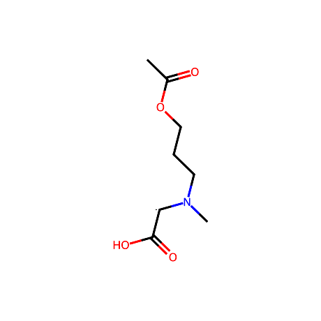 CC(=O)OCCCN(C)[CH]C(=O)O